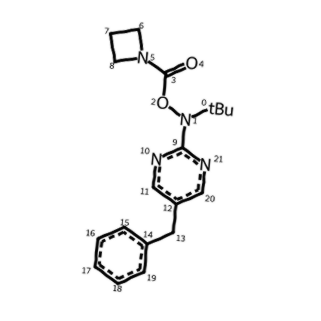 CC(C)(C)N(OC(=O)N1CCC1)c1ncc(Cc2ccccc2)cn1